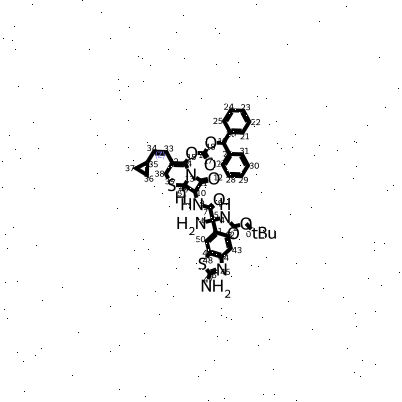 CC(C)(C)OC(=O)NC(N)(C(=O)NC1C(=O)N2C(OC(=O)OC(c3ccccc3)c3ccccc3)=C(/C=C\C3CC3)CS[C@@H]12)c1ccc2nc(N)sc2c1